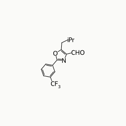 CC(C)Cc1oc(-c2cccc(C(F)(F)F)c2)nc1C=O